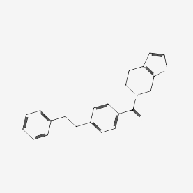 O=C(c1ccc(CCc2ccccc2)cc1)N1CCc2ccoc2C1